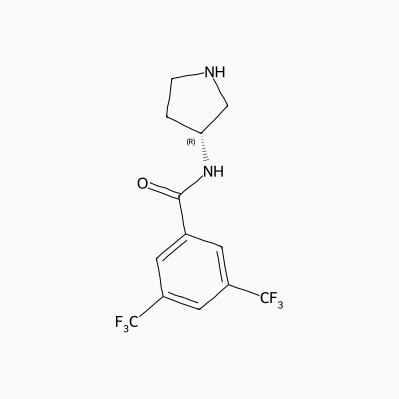 O=C(N[C@@H]1CCNC1)c1cc(C(F)(F)F)cc(C(F)(F)F)c1